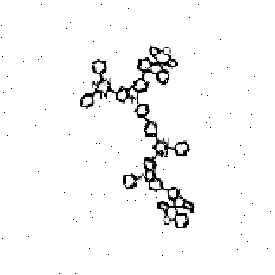 c1ccc(-c2nc(-c3ccc(-c4ccc(-n5c6ccc(-c7nc(-c8ccccc8)nc(-c8ccccc8)n7)cc6c6cc(-c7cccc8c7-c7ccccc7C87c8ccccc8Oc8ccccc87)ccc65)cc4)cc3)cc(-c3ccc4c(c3)c3cc(-c5ccc6c(c5)C5(c7ccccc7Oc7ccccc75)c5ccccc5-6)ccc3n4-c3ccccc3)n2)cc1